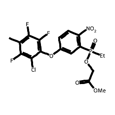 CCP(=O)(OCC(=O)OC)c1cc(Oc2c(F)c(F)c(C)c(F)c2Cl)ccc1[N+](=O)[O-]